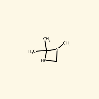 CN1CPC1(C)C